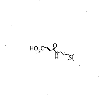 C[Si](C)(C)CCCNC(=O)C=CC(=O)O